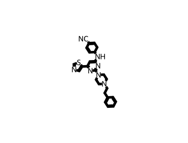 N#CC1=CCC(Nc2cc(-c3cncs3)nc(N3CCN(CCc4ccccc4)CC3)n2)C=C1